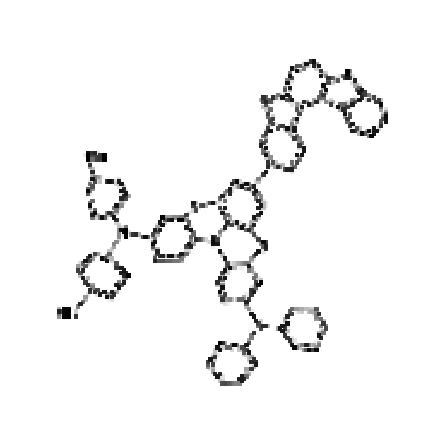 CC(C)(C)c1ccc(N(c2ccc(C(C)(C)C)cc2)c2ccc3c(c2)Sc2cc(-c4ccc5c(c4)sc4ccc6sc7ccccc7c6c45)cc4c2B3c2ccc(N(c3ccccc3)c3ccccc3)cc2S4)cc1